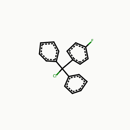 Fc1ccc(C(Cl)(c2ccccc2)c2ccccc2)cc1